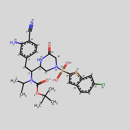 CC(C)N(C(=O)OC(C)(C)C)C(Cc1ccc(C#N)c(N)c1)C1CN(S(=O)(=O)c2cc3ccc(Cl)cc3s2)CC(=O)N1